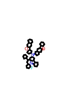 Fc1cccc2c1-n1c3ccccc3c3cc(N(c4ccc5cc6oc7ccccc7c6cc5c4)c4ccc5oc6cc7ccccc7cc6c5c4)cc(c31)C(c1ccccc1)=C2